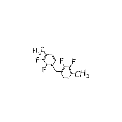 Cc1ccc(Cc2ccc(C)c(F)c2F)c(F)c1F